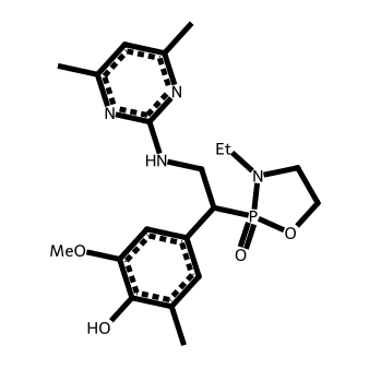 CCN1CCOP1(=O)C(CNc1nc(C)cc(C)n1)c1cc(C)c(O)c(OC)c1